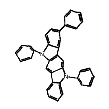 c1ccc(-c2ccc3c(c2)c2cc4c(cc2n3-c2ccccc2)c2ccccc2n4-c2ccccc2)cc1